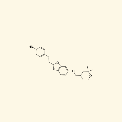 CNc1ccc(C=Cc2cc3ccc(OCC4CCOC(C)(C)C4)cc3o2)cc1